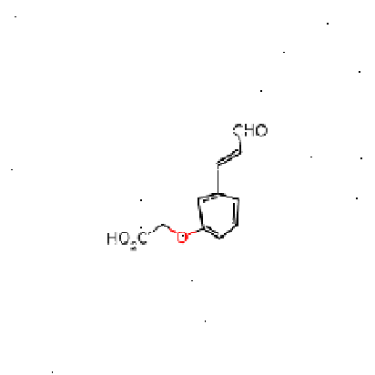 O=CC=Cc1cccc(OCC(=O)O)c1